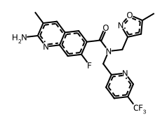 Cc1cc(CN(Cc2ccc(C(F)(F)F)cn2)C(=O)c2cc3cc(C)c(N)nc3cc2F)no1